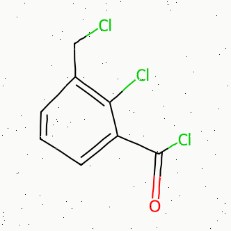 O=C(Cl)c1cccc(CCl)c1Cl